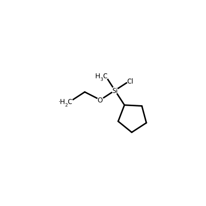 [CH2]CO[Si](C)(Cl)C1CCCC1